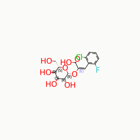 O=C(O)/C(=C\c1c(F)cccc1Cl)O[C@H]1O[C@@H](CO)[C@H](O)[C@H](O)[C@H]1O